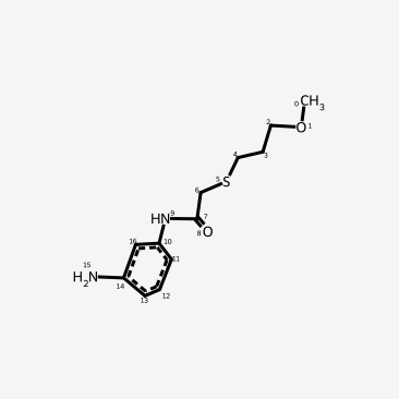 COCCCSCC(=O)Nc1cccc(N)c1